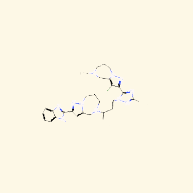 Cc1nc(-c2nn3c(c2Cl)CN(C(C)C)CCC3)n(CCC(C)N2CCCn3nc(-c4nc5ccccc5n4C)cc3C2)n1